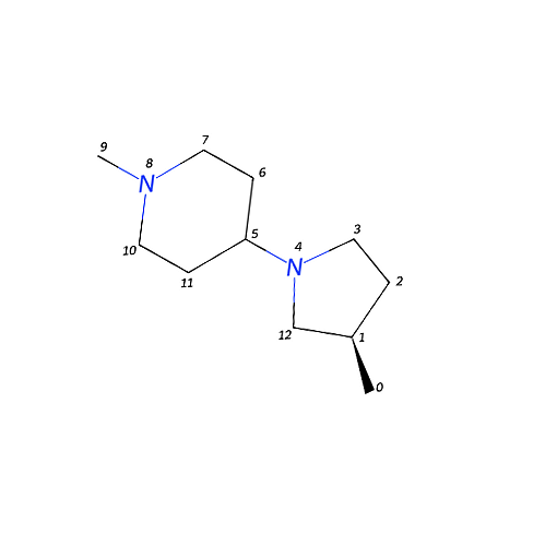 C[C@@H]1CCN(C2CCN(C)CC2)C1